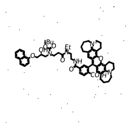 CCN(CCNC(=O)c1ccc(C(=O)O)c(C2=c3cc4c5c(c3Oc3c2cc2c6c3CCCN6CCCC2)CCC[N+]=5CCCC4)c1)C(=O)CCN(C[C@H](O)COc1cccc2ccccc12)C(=O)OC(C)(C)C